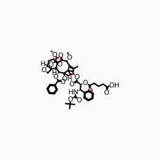 CO[C@H]1C(=O)[C@]2(C)[C@@H](OC)C[C@H]3OC[C@@]3(OC(C)=O)[C@H]2[C@H](OC(=O)c2ccccc2)C2(O)C[C@H](OC(=O)[C@H](OC(=O)CCCC(=O)O)[C@@H](NC(=O)OC(C)(C)C)c3ccccc3)C(C)=C1C2(C)C